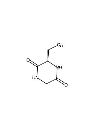 O=C1CNC(=O)[C@@H](CO)N1